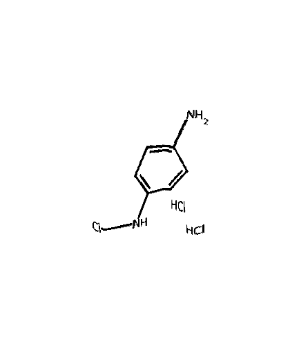 Cl.Cl.Nc1ccc(NCl)cc1